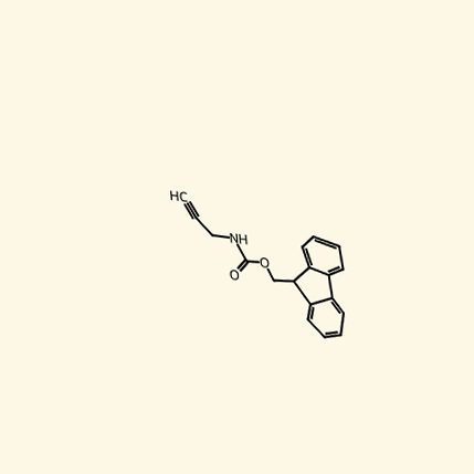 C#CCNC(=O)OCC1c2ccccc2-c2ccccc21